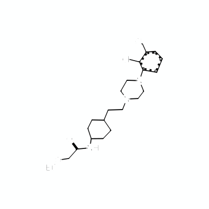 CCOCC(=O)NC1CCC(CCN2CCN(c3cccc(Cl)c3Cl)CC2)CC1